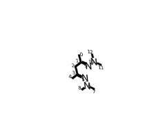 CC(CC(C)=NN(C)C)=NN(C)C